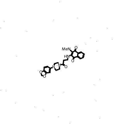 CNC1=C(NCCC(=O)N2CCN(c3ccc4c(c3)OCO4)CC2)C(=O)c2ccccc2C1=O